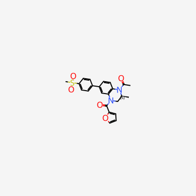 CC(=O)N1c2ccc(-c3ccc(S(C)(=O)=O)cc3)cc2N(C(=O)c2ccco2)C[C@@H]1C